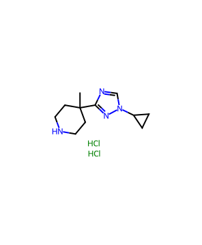 CC1(c2ncn(C3CC3)n2)CCNCC1.Cl.Cl